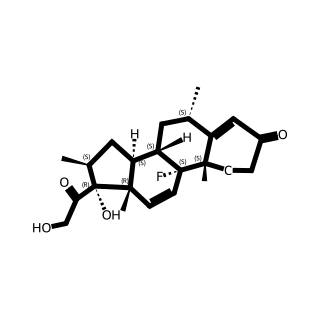 C[C@H]1C[C@H]2[C@@H]3C[C@H](C)[C@](O)(C(=O)CO)[C@@]3(C)C=C[C@]2(F)[C@@]2(C)CCC(=O)C=C12